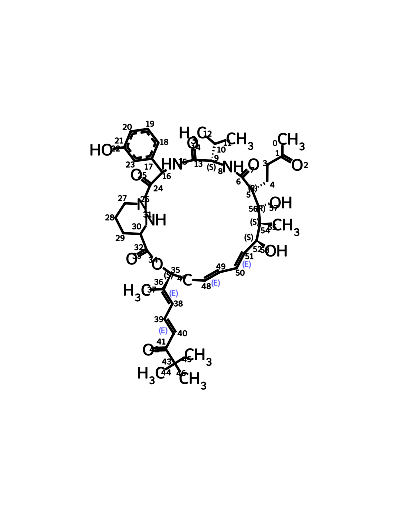 CC(=O)CC[C@H]1C(=O)N[C@@H](C(C)C)C(=O)NC(c2cccc(O)c2)C(=O)N2CCCC(N2)C(=O)O[C@H](/C(C)=C/C=C/C(=O)C(C)(C)C)C/C=C/C=C/[C@H](O)[C@H](C)[C@H]1O